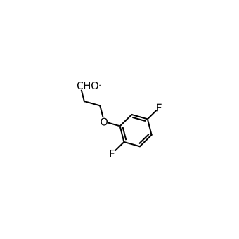 O=[C]CCOc1cc(F)ccc1F